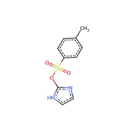 Cc1ccc(S(=O)(=O)Oc2ncc[nH]2)cc1